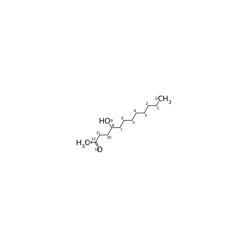 CCCCCCCCC(O)CCC(C)=O